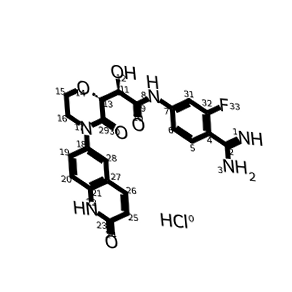 Cl.N=C(N)c1ccc(NC(=O)[C@H](O)[C@H]2OCCN(c3ccc4[nH]c(=O)ccc4c3)C2=O)cc1F